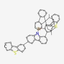 CC1CC2CC(C)C3(c4ccccc4-c4ccc(-n5c6ccc(-c7ccc8sc9ccccc9c8c7)cc6c6cccc(-c7cc8sc9ccccc9c8cc7Br)c65)cc43)C(C1)C2